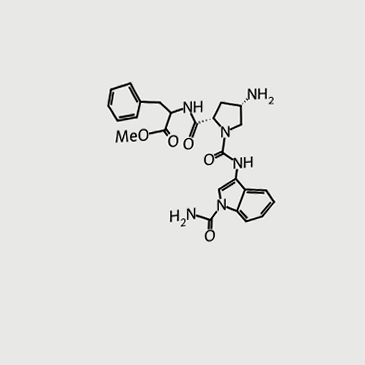 COC(=O)C(Cc1ccccc1)NC(=O)[C@@H]1C[C@H](N)CN1C(=O)Nc1cn(C(N)=O)c2ccccc12